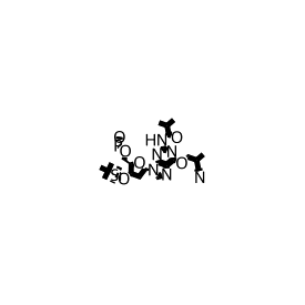 CC(C#N)COc1nc(NC(=O)C(C)C)nc2c1ncn2[C@H]1CC(O[Si](C)(C)C(C)(C)C)[C@@H](COP=O)O1